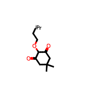 CC(C)CCOC1C(=O)CC(C)(C)CC1=O